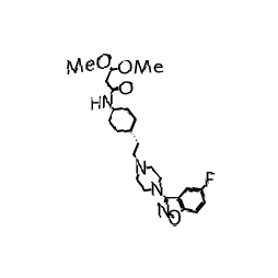 COC(CC(=O)N[C@H]1CC[C@H](CCN2CCN(c3noc4ccc(F)cc34)CC2)CC1)OC